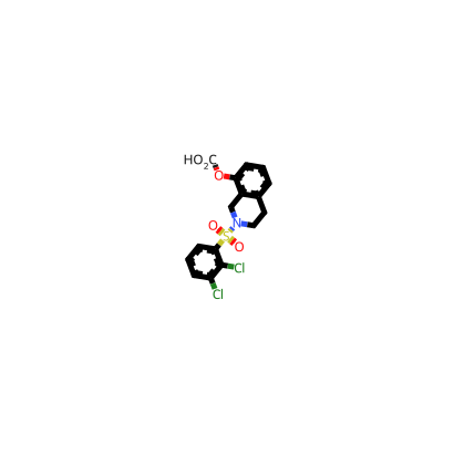 O=C(O)Oc1cccc2c1CN(S(=O)(=O)c1cccc(Cl)c1Cl)CC2